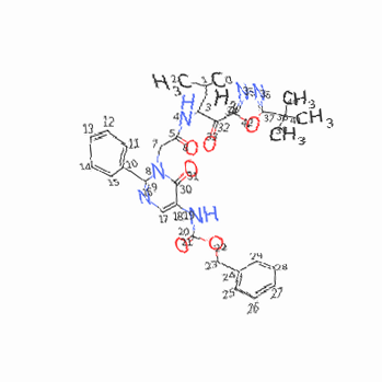 CC(C)[C@@H](NC(=O)Cn1c(-c2ccccc2)ncc(NC(=O)OCc2ccccc2)c1=O)C(=O)c1nnc(C(C)(C)C)o1